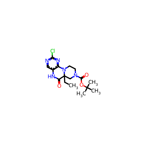 CCC12CN(C(=O)OC(C)(C)C)CCN1c1nc(Cl)ncc1NC2=O